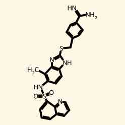 Cc1c(NS(=O)(=O)c2cccc3cccnc23)ccc2[nH]c(SCc3ccc(C(=N)N)cc3)nc12